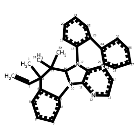 C=CC1(C)c2ccccc2N2c3nccnc3N(c3ccccc3-c3ccccc3)C2C1(C)C